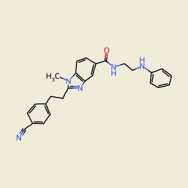 Cn1c(CCc2ccc(C#N)cc2)nc2cc(C(=O)NCCNc3ccccc3)ccc21